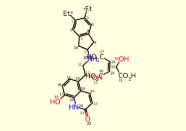 CCc1cc2c(cc1CC)CC(NC[C@H](O)c1ccc(O)c3[nH]c(=O)ccc13)C2.O=C(O)/C=C\C(=O)O.O=C(O)CO